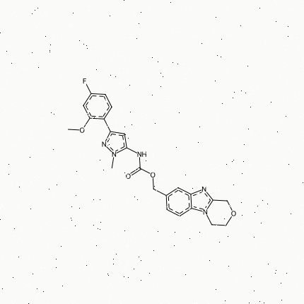 COc1cc(F)ccc1-c1cc(NC(=O)OCc2ccc3c(c2)nc2n3CCOC2)n(C)n1